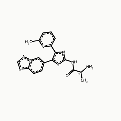 Cc1cccc(-c2nc(NC(=O)[C@H](C)N)sc2-c2ccc3ncnn3c2)n1